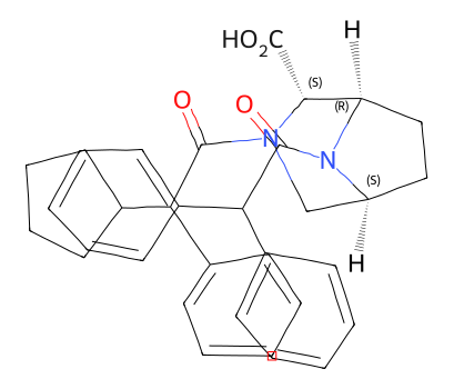 O=C(O)[C@@H]1[C@H]2CC[C@@H](CN1C(=O)C(c1ccccc1)C1CCCC1)N2C(=O)C(c1ccccc1)c1ccccc1